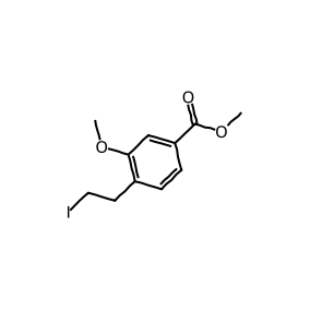 COC(=O)c1ccc(CCI)c(OC)c1